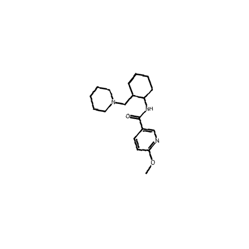 COc1ccc(C(=O)NC2CCCCC2CN2CCCCC2)cn1